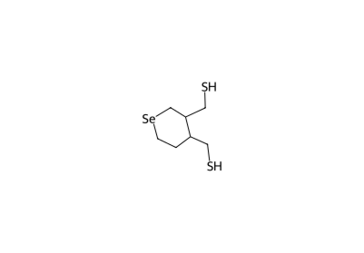 SCC1CC[Se]CC1CS